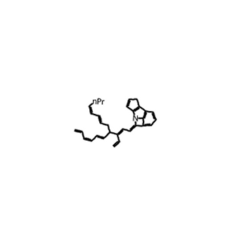 C=C/C=C\C=CC(CC=C/C=C\CCC)/C(C=C)=C/C=c1/c2cccc3c4c(n1c32)C=CC4